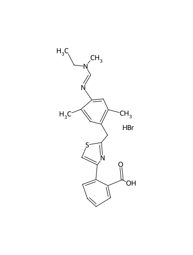 Br.CCN(C)C=Nc1cc(C)c(Cc2nc(-c3ccccc3C(=O)O)cs2)cc1C